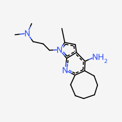 Cc1cc2c(N)c3c(nc2n1CCCN(C)C)CCCCCC3